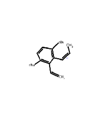 C=Cc1c(C(C)(C)C)ccc(C(C)(C)C)c1/C=C\C